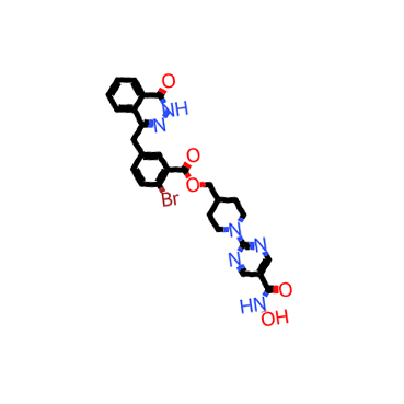 O=C(NO)c1cnc(N2CCC(COC(=O)c3cc(Cc4n[nH]c(=O)c5ccccc45)ccc3Br)CC2)nc1